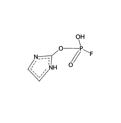 O=P(O)(F)Oc1ncc[nH]1